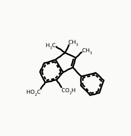 CC1=C(c2ccccc2)c2c(ccc(C(=O)O)c2C(=O)O)C1(C)C